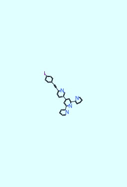 Ic1ccc(C#Cc2ccc(-c3cc(-c4ccccn4)nc(-c4ccccn4)c3)cn2)cc1